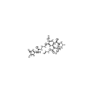 C=CCOC(=O)N1c2cc(OCCCC(=O)Nc3cc(C)n(C)c3)c(OC)cc2C(=O)N2CCC[C@H]2[C@@H]1OC